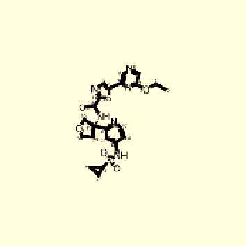 CCOc1cncc(-c2cnc(C(=O)N[C@]3(c4cc(NS(=O)(=O)C5CC5)ccn4)CCOC3)s2)n1